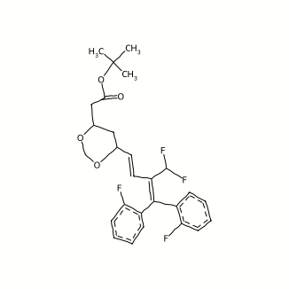 CC(C)(C)OC(=O)CC1CC(C=CC(=C(c2ccccc2F)c2ccccc2F)C(F)F)OCO1